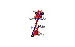 COCCOCOc1ccccc1CN(C[C@H](CCCCNC(=O)CCOCCOCCC(=O)NCCCC[C@@H](CN(Cc1ccccc1OCOCCOC)CP(=O)(OC(C)(C)C)OC(C)(C)C)N(Cc1ccccc1OCOCCOC)CP(=O)(OC(C)(C)C)OC(C)(C)C)N(Cc1ccccc1OCOCCOC)CP(=O)(OC(C)(C)C)OC(C)(C)C)CP(=O)(OC(C)(C)C)OC(C)(C)C